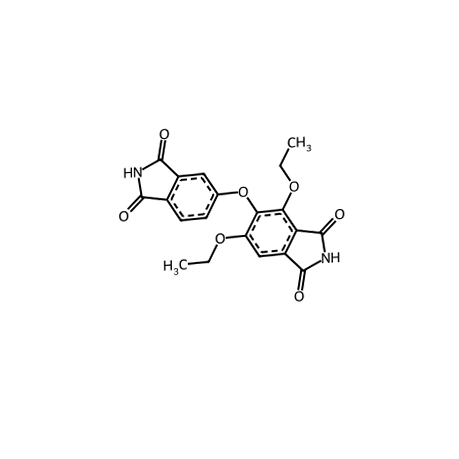 CCOc1cc2c(c(OCC)c1Oc1ccc3c(c1)C(=O)NC3=O)C(=O)NC2=O